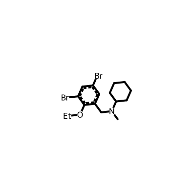 CCOc1c(Br)cc(Br)cc1CN(C)C1CCCCC1